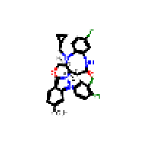 O=C(O)c1ccc2c3n(nc2c1)[C@@H]1[C@@H](c2cccc(Cl)c2F)C(=O)Nc2cc(Cl)ccc2N(CC2CC2)[C@@H]1CO3